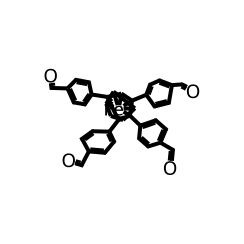 O=Cc1ccc([C]23[CH]4[C]5(c6ccc(C=O)cc6)[C]6(c7ccc(C=O)cc7)[C]2(c2ccc(C=O)cc2)[Fe]43562789[CH]3[CH]2[CH]7[CH]8[CH]39)cc1